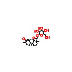 CC12CCC3C(CCC4C(C)(C(=O)COC5OC(CO)C(O)C(O)C5O)CCCC34C)(CC1=O)C2